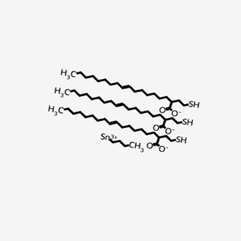 CCCCCCCCC=CCCCCCCC(CCS)C(=O)[O-].CCCCCCCCC=CCCCCCCC(CCS)C(=O)[O-].CCCCCCCCC=CCCCCCCC(CCS)C(=O)[O-].CCC[CH2][Sn+3]